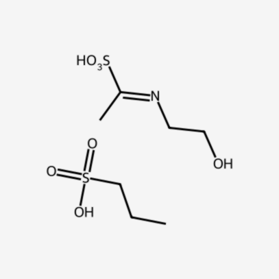 CC(=NCCO)S(=O)(=O)O.CCCS(=O)(=O)O